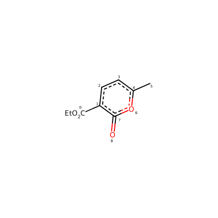 CCOC(=O)c1ccc(C)oc1=O